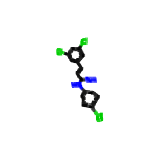 N=C(/C=C/c1cc(Cl)cc(Cl)c1)Nc1ccc(Cl)cc1